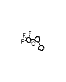 Fc1cc2oc3c(-c4ccccc4)cccc3c2c(F)c1F